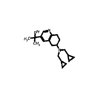 CCCC(C)(C)c1cnc2c(c1)CC(N(CC1CC1)CC1CC1)CC2